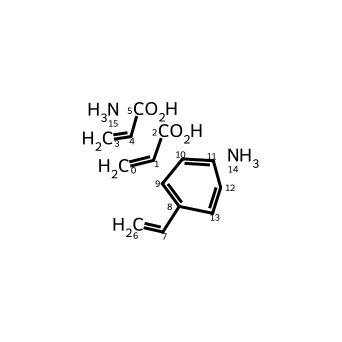 C=CC(=O)O.C=CC(=O)O.C=Cc1ccccc1.N.N